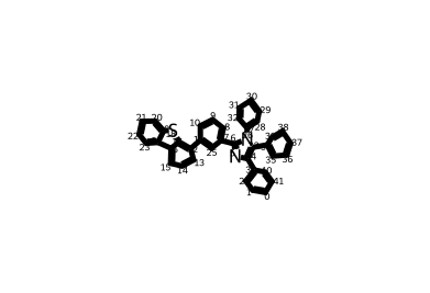 c1ccc(-c2nc(-c3cccc(-c4cccc5c4sc4ccccc45)c3)n(-c3ccccc3)c2-c2ccccc2)cc1